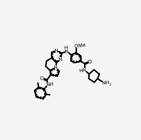 COc1cc(C(=O)NC2CCC(N)CC2)ccc1Nc1ncc2c(n1)-n1ccc(C(=O)Nc3c(C)cccc3C)c1CC2